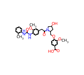 COc1cc(CC(=O)N2CC(O)CC2COc2ccc(C(=O)O)cc2OC)ccc1NC(=O)Nc1ccccc1C